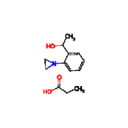 CC(O)c1ccccc1N1CC1.CCC(=O)O